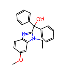 CCn1c(C(O)(c2ccccc2)c2ccccc2)nc2ccc(OC)cc21